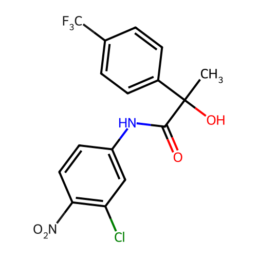 CC(O)(C(=O)Nc1ccc([N+](=O)[O-])c(Cl)c1)c1ccc(C(F)(F)F)cc1